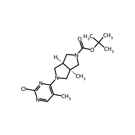 Cc1cnc(Cl)nc1N1C[C@H]2CN(C(=O)OC(C)(C)C)C[C@@]2(C)C1